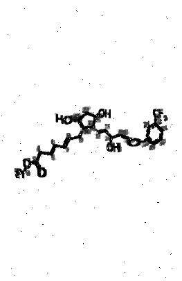 CC(C)OC(=O)CCCC=CC[C@@H]1[C@@H](C=CC(O)COc2cccc(C(F)(F)F)c2)[C@H](O)C[C@@H]1O